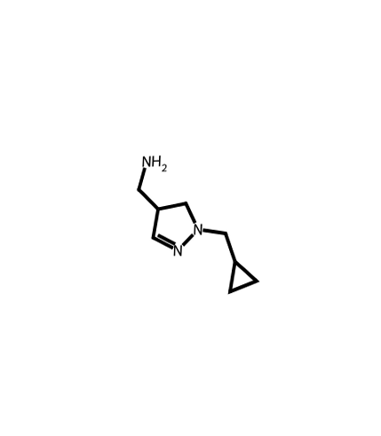 NCC1C=NN(CC2CC2)C1